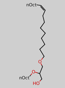 CCCCCCCC/C=C\CCCCCCCCOCC(CO)OCCCCCCCC